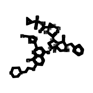 CC[C@@H]1C[C@]1(NC(=O)[C@@H]1C[C@@H](Oc2cc(-c3nc(C(C)C)cs3)nc3c(Cl)c(OCCN4CCOCC4)ccc23)[C@H]2CN[C@H](Cc3ccccc3)C(=O)N21)C(=O)NS(=O)(=O)C1CC1